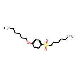 [CH2]CCCCCS(=O)(=O)c1ccc(OCCCCCC)cc1